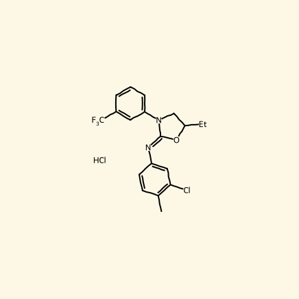 CCC1CN(c2cccc(C(F)(F)F)c2)C(=Nc2ccc(C)c(Cl)c2)O1.Cl